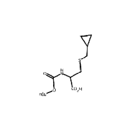 CCCCOC(=O)NC(CSCC1CC1)C(=O)O